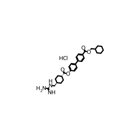 Cl.N=C(N)NC[C@H]1CC[C@H](C(=O)Oc2ccc(-c3ccc(C(=O)OCC4CCCCC4)cc3)cc2)CC1